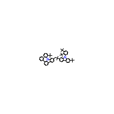 CC(C)(C)c1ccc2c3ccc(C(C)(C)Cc4ccc5c6cccc(-c7ccccc7)c6n(-c6ccccc6C(C)(C)C)c5c4)cc3n(-c3cccc(C(C)(C)C)c3C(C)(C)C)c2c1